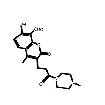 Cc1c(CCC(=O)N2CCN(C)CC2)c(=O)oc2c(C=O)c(O)ccc12